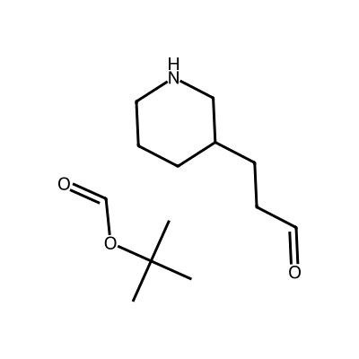 CC(C)(C)OC=O.O=CCCC1CCCNC1